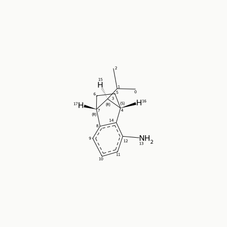 CC(C)[C@H]1[C@@H]2CC[C@H]1c1cccc(N)c12